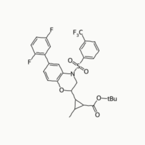 CC1C(C(=O)OC(C)(C)C)C1C1CN(S(=O)(=O)c2cccc(C(F)(F)F)c2)c2cc(-c3cc(F)ccc3F)ccc2O1